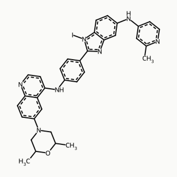 Cc1cc(Nc2ccc3c(c2)nc(-c2ccc(Nc4ccnc5ccc(N6CC(C)OC(C)C6)cc45)cc2)n3I)ccn1